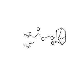 CCC(C)C(=O)OCOC12CC3CC(CC(C3)C1=O)C2